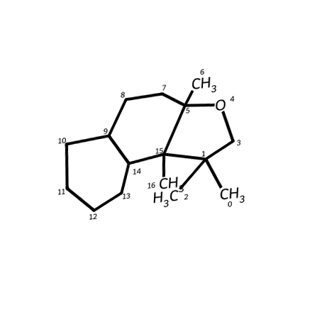 CC1(C)COC2(C)CCC3CCCCC3C12C